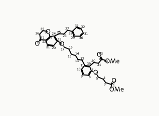 COC(=O)CCCOc1cccc(CCCCCCOc2ccc3c(c2CCCc2ccccc2)OCCC3=O)c1CCC(=O)OC